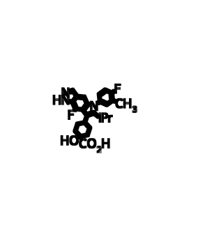 Cc1cc(-n2c(C(C)C)c(C3CCC(O)(C(=O)O)CC3)c3c(F)c4[nH]ncc4cc32)ccc1F